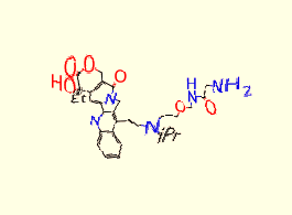 CC[C@@]1(O)C(=O)OCc2c1cc1n(c2=O)Cc2c-1nc1ccccc1c2CCN(CCOCNC(=O)CN)C(C)C